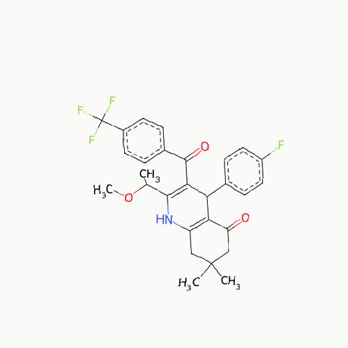 COC(C)C1=C(C(=O)c2ccc(C(F)(F)F)cc2)C(c2ccc(F)cc2)C2=C(CC(C)(C)CC2=O)N1